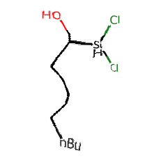 CCCCCCCC(O)[SiH](Cl)Cl